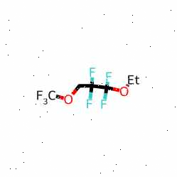 CCOC(F)(F)C(F)(F)COC(F)(F)F